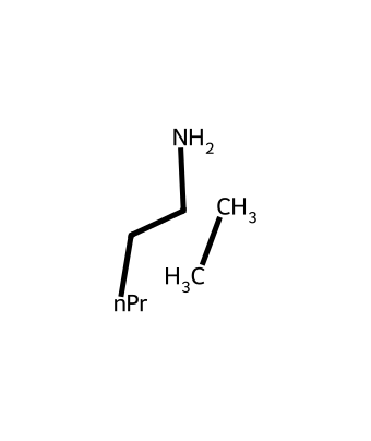 CC.CCCCCN